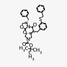 CC(C)(C)OC(=O)N1CC[C@H]([C@H](Cc2cccc(SCc3ccccc3)c2)C(=O)N2C(=O)OC[C@@H]2Cc2ccccc2)C1